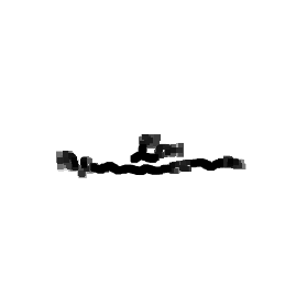 CC(O)CO.CCCCCCCCCCCCCCCCCCCCCC(=O)O